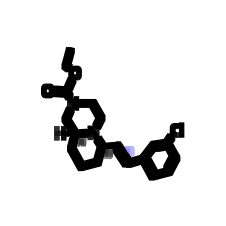 CCOC(=O)N1CCN2[C@@H](CCC[C@@H]2/C=C/c2cccc(Cl)c2)C1